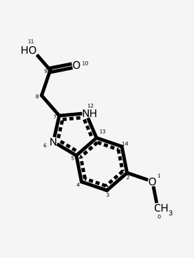 COc1ccc2nc(CC(=O)O)[nH]c2c1